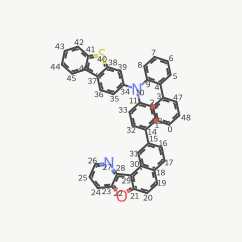 c1ccc(-c2ccccc2N(c2ccc(-c3ccc4ccc5oc6cccnc6c5c4c3)cc2)c2ccc3c(c2)sc2ccccc23)cc1